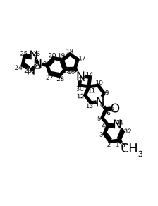 Cc1ccc(CC(=O)N2CCC3(CC2)CN(C2CCc4cc(-n5nccn5)ccc42)C3)nc1